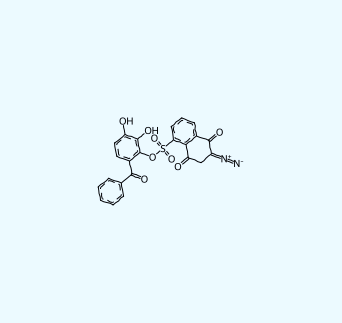 [N-]=[N+]=C1CC(=O)c2c(cccc2S(=O)(=O)Oc2c(C(=O)c3ccccc3)ccc(O)c2O)C1=O